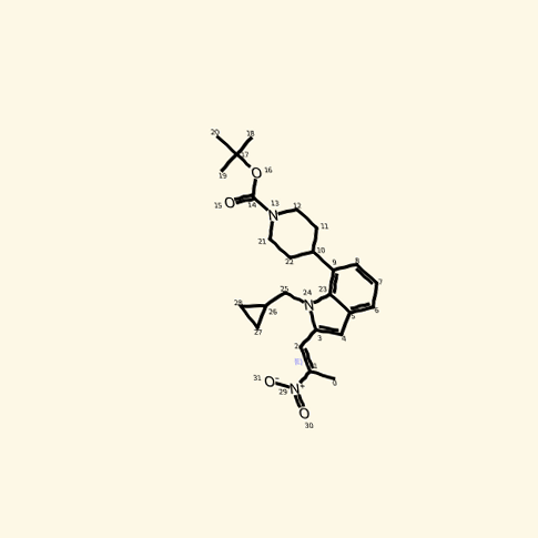 C/C(=C\c1cc2cccc(C3CCN(C(=O)OC(C)(C)C)CC3)c2n1CC1CC1)[N+](=O)[O-]